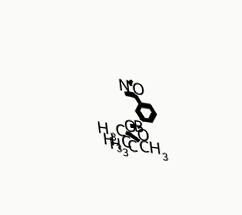 CC1(C)OB(c2cccc(-c3cnco3)c2)OC1(C)C